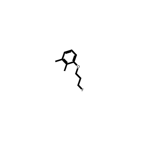 Cc1cccc(OCCCF)c1C